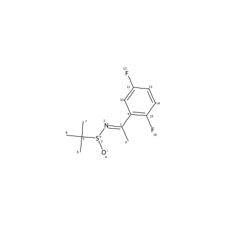 C/C(=N\[S+]([O-])C(C)(C)C)c1cc(F)ccc1F